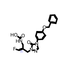 O=C(O)NC/C(=C\F)Cn1ncn(-c2ccc(OCc3ccccc3)cc2)c1=O